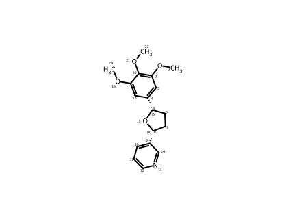 COc1cc([C@@H]2CC[C@H](c3cccnc3)O2)cc(OC)c1OC